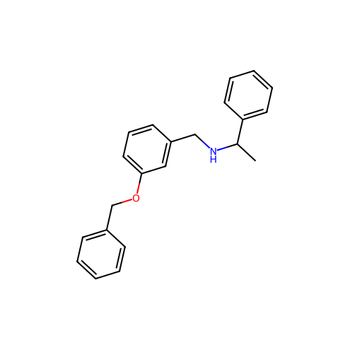 CC(NCc1cccc(OCc2ccccc2)c1)c1ccccc1